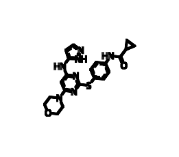 O=C(Nc1ccc(Sc2nc(Nc3ccn[nH]3)cc(N3CCOCC3)n2)cc1)C1CC1